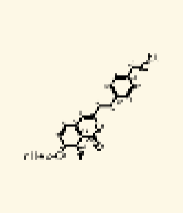 CCCCCCOc1ccc2cc(CCc3ccc(COCC)cc3)oc(=O)c2c1F